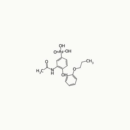 CC(=O)Nc1cc([As](=O)(O)O)ccc1O.CCCOc1ccccc1